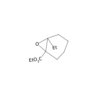 CCOC(=O)C12CCCCC1(CC)O2